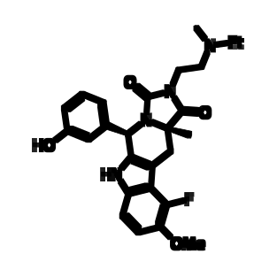 CCN(C)CCN1C(=O)N2[C@H](c3cccc(O)c3)c3[nH]c4ccc(OC)c(F)c4c3C[C@@]2(C)C1=O